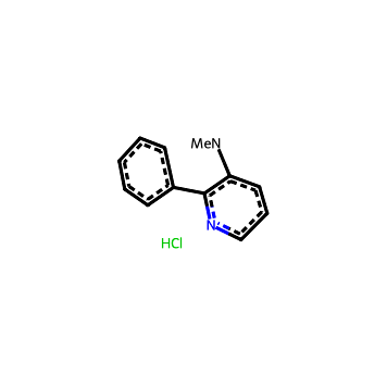 CNc1cccnc1-c1ccccc1.Cl